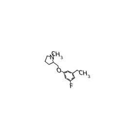 CCc1cc(F)cc(OCC2CCCN2C)c1